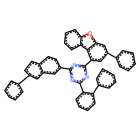 c1ccc(-c2ccc3ccc(-c4nc(-c5ccccc5-c5ccccc5)nc(-c5cc(-c6ccccc6)cc6oc7ccccc7c56)n4)cc3c2)cc1